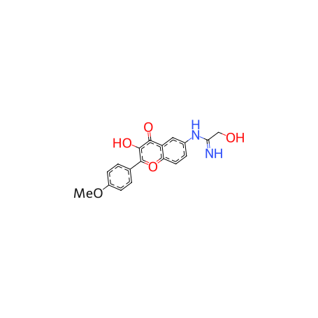 COc1ccc(-c2oc3ccc(NC(=N)CO)cc3c(=O)c2O)cc1